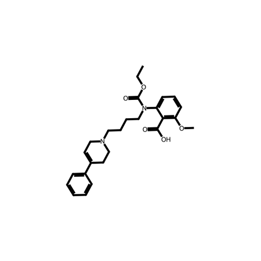 CCOC(=O)N(CCCCN1CC=C(c2ccccc2)CC1)c1cccc(OC)c1C(=O)O